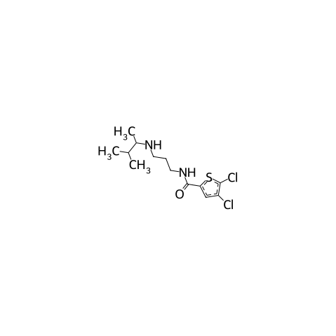 CC(C)C(C)NCCCNC(=O)c1cc(Cl)c(Cl)s1